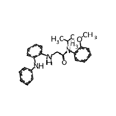 COc1ccccc1N(C(=O)CNc1ccccc1Nc1ccccc1)C(C)C